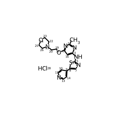 Cc1nc(Nc2ncc(-c3ccncc3)s2)cc(OCCN2CCOCC2)n1.Cl